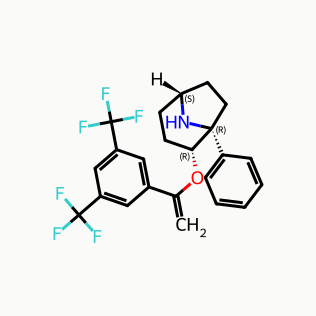 C=C(O[C@@H]1CC[C@@H]2CC[C@]1(c1ccccc1)N2)c1cc(C(F)(F)F)cc(C(F)(F)F)c1